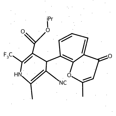 [C-]#[N+]C1=C(C)NC(C(F)(F)F)=C(C(=O)OC(C)C)C1c1cccc2c(=O)cc(C)oc12